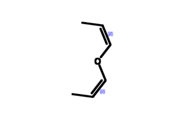 C/C=C\O/C=C\C